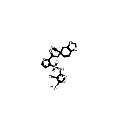 Cc1noc(NS(=O)(=O)c2ccsc2C(=O)CC2(C#N)C=CC3=C(C2)OCO3)c1Cl